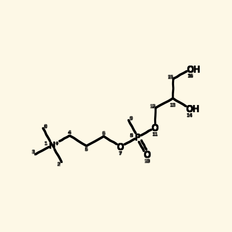 C[N+](C)(C)CCCOP(C)(=O)OCC(O)CO